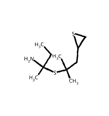 CCC(C)(N)SC(C)(C)CC1CS1